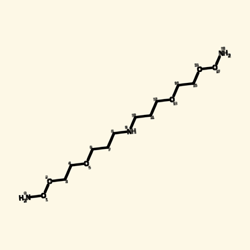 NOOCCOCCCNCCCOCCOON